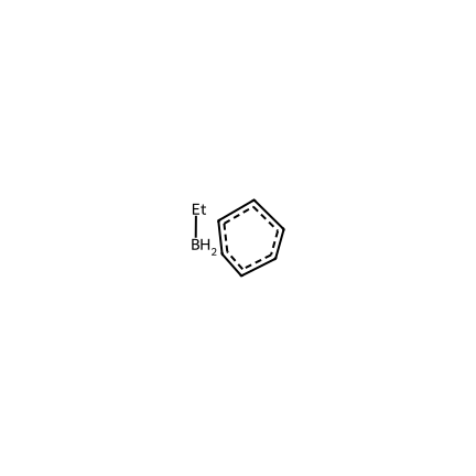 BCC.c1ccccc1